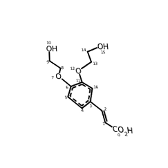 O=C(O)C=Cc1ccc(OCCO)c(OCCO)c1